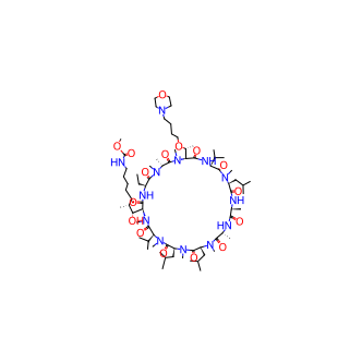 CC[C@@H]1NC(=O)[C@H]([C@H](O)[C@H](C)CCCCCNC(=O)OC)N(C)C(=O)[C@H](C(C)C)N(C)C(=O)[C@H](CC(C)C)N(C)C(=O)[C@H](CC(C)C)N(C)C(=O)[C@@H](C)NC(=O)[C@H](C)NC(=O)[C@H](CC(C)C)N(C)C(=O)[C@H](C(C)C)NC(=O)[C@H]([C@@H](C)OCCCCN2CCOCC2)N(C)C(=O)[C@@H](C)N(C)C1=O